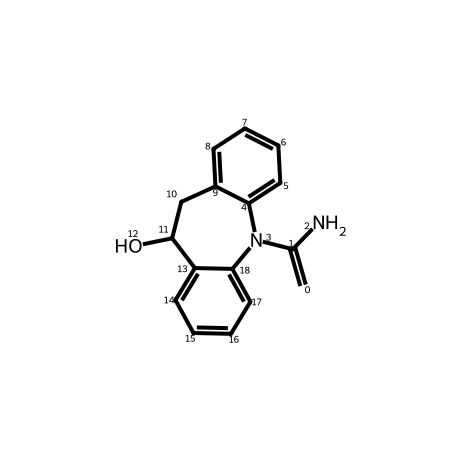 C=C(N)N1c2ccccc2CC(O)c2ccccc21